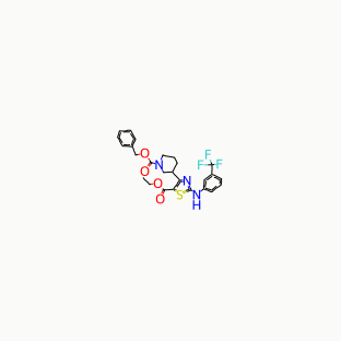 CCOC(=O)c1sc(Nc2cccc(C(F)(F)F)c2)nc1C1CCCN(C(=O)OCc2ccccc2)C1